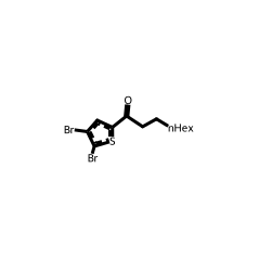 CCCCCCCCC(=O)c1cc(Br)c(Br)s1